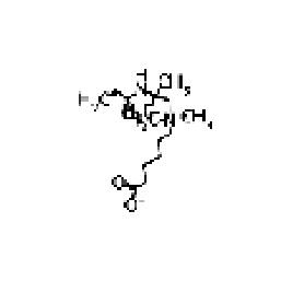 C=CC(=O)NC(C)(C)C[N+](C)(C)CCCCCC(=O)[O-]